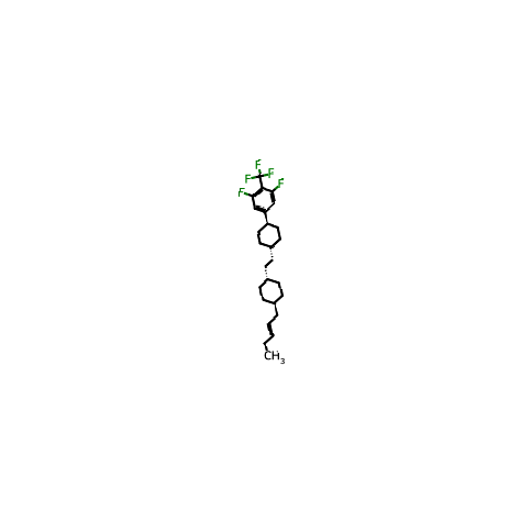 CC/C=C/C[C@H]1CC[C@H](CC[C@H]2CC[C@H](c3cc(F)c(C(F)(F)F)c(F)c3)CC2)CC1